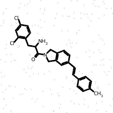 Cc1ccc(C=Cc2ccc3c(c2)CN(C(=O)C(N)Cc2ccc(Cl)cc2Cl)C3)cc1